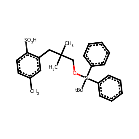 Cc1ccc(S(=O)(=O)O)c(CC(C)(C)CO[Si](c2ccccc2)(c2ccccc2)C(C)(C)C)c1